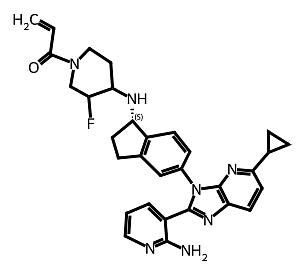 C=CC(=O)N1CCC(N[C@H]2CCc3cc(-n4c(-c5cccnc5N)nc5ccc(C6CC6)nc54)ccc32)C(F)C1